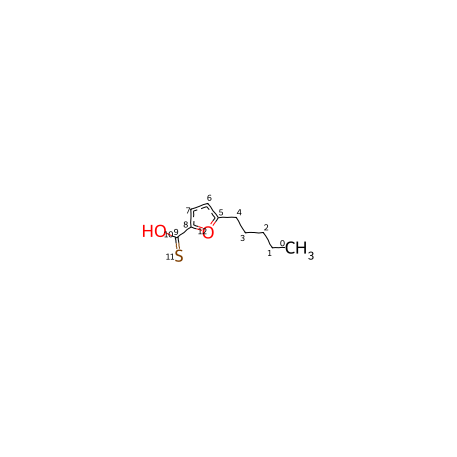 CCCCCc1ccc(C(O)=S)o1